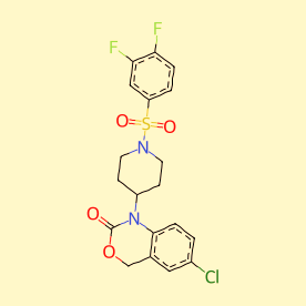 O=C1OCc2cc(Cl)ccc2N1C1CCN(S(=O)(=O)c2ccc(F)c(F)c2)CC1